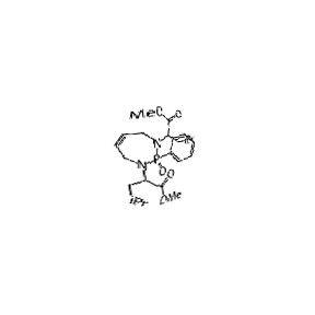 COC(=O)C(CC(C)C)N1CC=CCN(C(CC(C)C)C(=O)OC)P1(=O)c1ccccc1